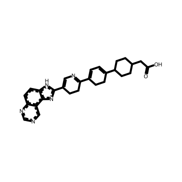 O=C(O)CC1CCC(C2=CC=C(C3=NC=C(c4nc5c(ccc6ncncc65)[nH]4)CC3)CC2)CC1